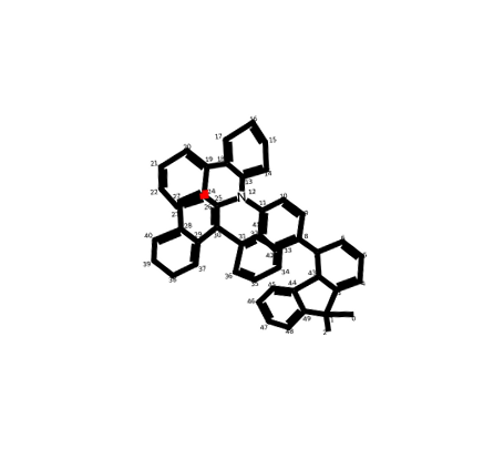 CC1(C)C2=CC=CC(c3ccc(N(c4ccccc4-c4ccccc4)c4ccc5c(c4-c4ccccc4)=CCCC=5)cc3)C2c2ccccc21